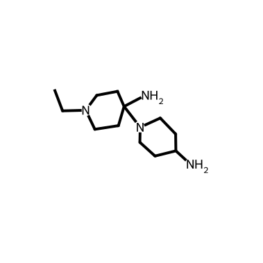 CCN1CCC(N)(N2CCC(N)CC2)CC1